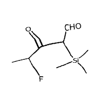 CC(F)C(=O)C(C=O)[Si](C)(C)C